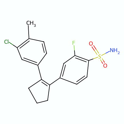 Cc1ccc(C2=C(c3ccc(S(N)(=O)=O)c(F)c3)CCC2)cc1Cl